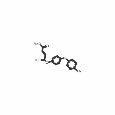 COC(=O)C=CC(C)Oc1ccc(Oc2ccc(C#N)cc2)cc1